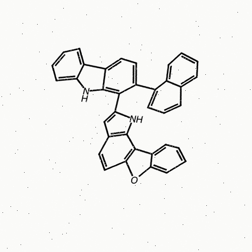 c1ccc2c(-c3ccc4c([nH]c5ccccc54)c3-c3cc4ccc5oc6ccccc6c5c4[nH]3)cccc2c1